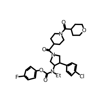 CCN(C(=O)Oc1ccc(F)cc1)C1CN(C(=O)C2CCN(C(=O)C3CCOCC3)CC2)CC1c1ccc(Cl)cc1